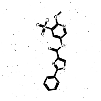 COc1ncc(NC(=O)c2csc(-c3ccccc3)n2)cc1S(=O)(=O)Cl